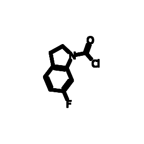 O=C(Cl)N1CCc2ccc(F)cc21